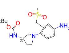 CC(C)(C)OC(=O)N[C@H]1CCN(c2ccc(N)cc2CS(C)(=O)=O)C1